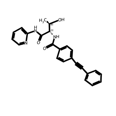 C[C@@H](O)[C@H](NC(=O)c1ccc(C#Cc2ccccc2)cc1)C(=O)Nc1ccccn1